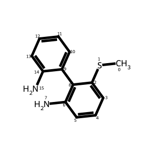 CSc1cccc(N)c1-c1ccccc1N